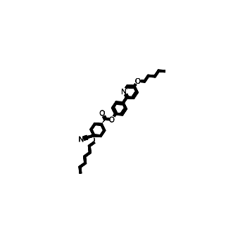 CCCCCCC[C@]1(C#N)CC[C@H](C(=O)Oc2ccc(-c3ccc(OCCCCC)cn3)cc2)CC1